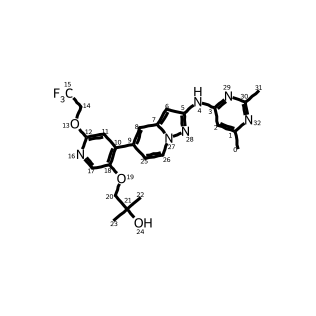 Cc1cc(Nc2cc3cc(-c4cc(OCC(F)(F)F)ncc4OCC(C)(C)O)ccn3n2)nc(C)n1